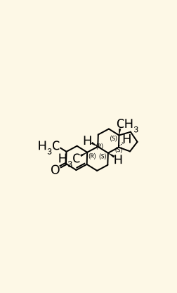 CC1C[C@@]2(C)C(=CC1=O)CC[C@@H]1[C@H]2CC[C@]2(C)CCC[C@@H]12